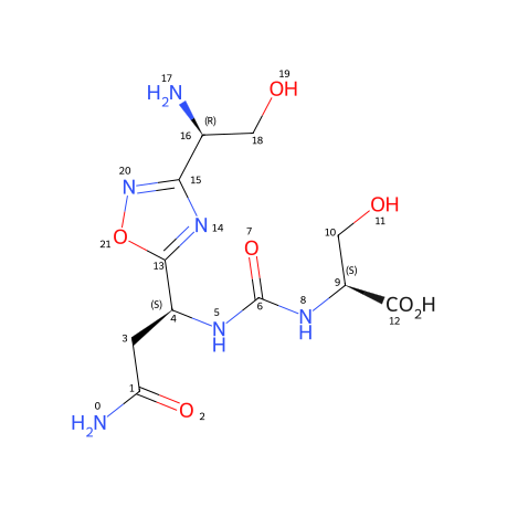 NC(=O)C[C@H](NC(=O)N[C@@H](CO)C(=O)O)c1nc([C@@H](N)CO)no1